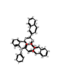 c1ccc(N(c2ccccc2)c2ccccc2-c2nc(-c3ccc4ccccc4c3)nc(-c3ccc4ccccc4c3)n2)cc1